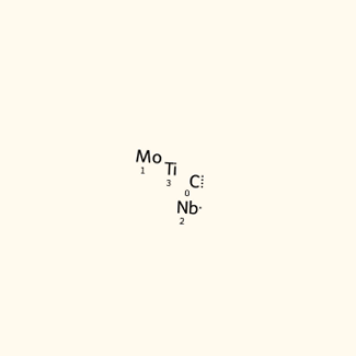 [C].[Mo].[Nb].[Ti]